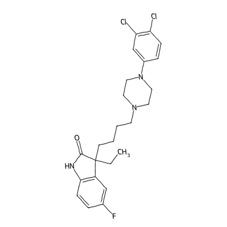 CCC1(CCCCN2CCN(c3ccc(Cl)c(Cl)c3)CC2)C(=O)Nc2ccc(F)cc21